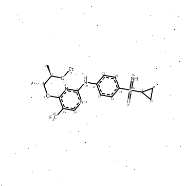 CCO[C@H](C)[C@@H](C)Oc1nc(Nc2ccc(S(=N)(=O)C3CC3)cc2)ncc1C(F)(F)F